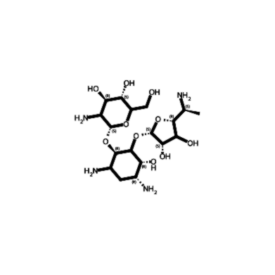 C[C@H](N)[C@H]1O[C@@H](OC2[C@H](O[C@H]3OC(CO)[C@@H](O)[C@H](O)C3N)C(N)C[C@@H](N)[C@H]2O)[C@@H](O)C1O